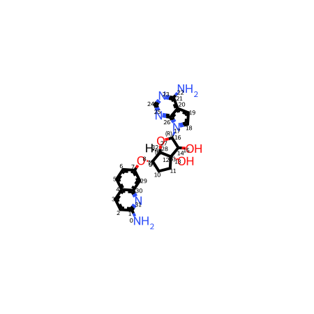 Nc1ccc2ccc(O[C@H]3CC[C@]4(O)C(O)[C@H](n5ccc6c(N)ncnc65)O[C@H]34)cc2n1